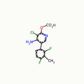 Cc1c(F)ccc(-c2cnc(OC(=O)O)c(Cl)c2N)c1F